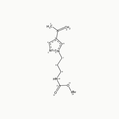 C=C(C)c1cnn(CCCNC(=O)OC(C)(C)C)c1